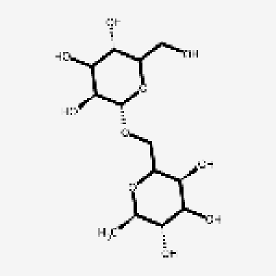 C[C@H]1OC(CO[C@H]2OC(CO)[C@@H](O)C(O)[C@@H]2O)[C@@H](O)C(O)[C@@H]1O